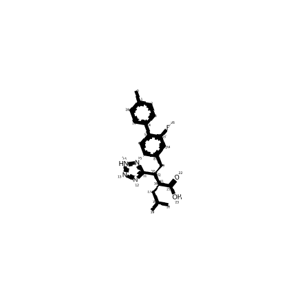 Cc1ccc(-c2ccc(C[C@H](c3nn[nH]n3)[C@H](CC(C)C)C(=O)O)cc2F)cc1